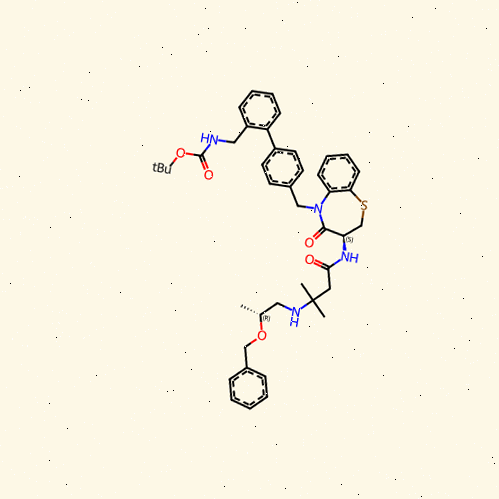 C[C@H](CNC(C)(C)CC(=O)N[C@@H]1CSc2ccccc2N(Cc2ccc(-c3ccccc3CNC(=O)OC(C)(C)C)cc2)C1=O)OCc1ccccc1